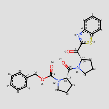 O=C(c1nc2ccccc2s1)[C@@H]1CCCN1C(=O)[C@@H]1CCCN1C(=O)OCc1ccccc1